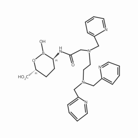 O=C(CN(CCN(Cc1ccccn1)Cc1ccccn1)Cc1ccccn1)N[C@H]1CC[C@H](C(=O)O)OB1O